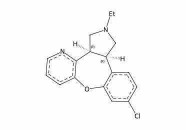 CCN1C[C@@H]2c3ncccc3Oc3cc(Cl)ccc3[C@@H]2C1